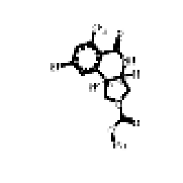 CCc1cc2c(c(C(F)(F)F)c1)C(=O)N[C@@H]1CN(C(=O)OC(C)(C)C)C[C@@H]21